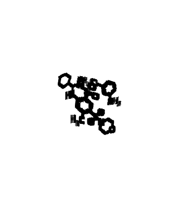 Cc1cc2c(cc1S(=O)(=O)N1CCOCC1)S(=O)(=O)NC(C1CCCCC1)N2.Cc1cccc(N)c1